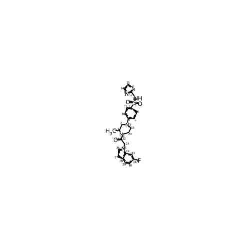 CC1CN(c2ccc(S(=O)(=O)Nc3nccs3)cc2)CCN1C(=O)Cn1ccc2ccc(F)cc21